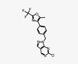 Cc1oc(C(F)(F)F)nc1-c1ccc(Cn2ncc3cnc(Cl)nc32)cc1